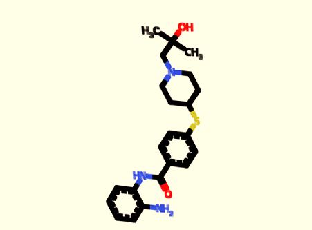 CC(C)(O)CN1CCC(Sc2ccc(C(=O)Nc3ccccc3N)cc2)CC1